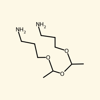 CC(OCCCN)OC(C)OCCCN